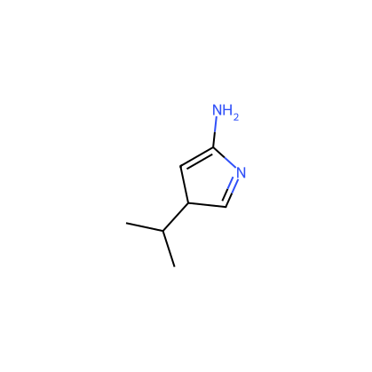 CC(C)C1C=NC(N)=C1